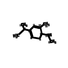 CNC1CC=C(C(C)C)C=C1C